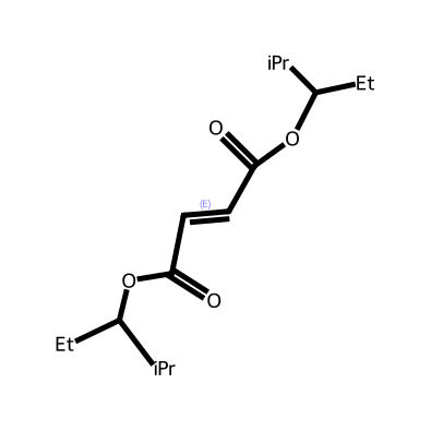 CCC(OC(=O)/C=C/C(=O)OC(CC)C(C)C)C(C)C